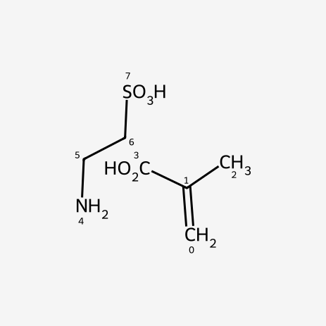 C=C(C)C(=O)O.NCCS(=O)(=O)O